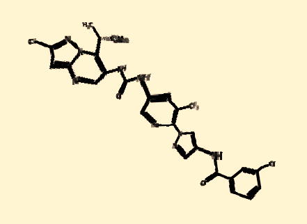 CO[C@@H](C)c1c(NC(=O)Nc2cnc(-n3cc(NC(=O)c4cccc(Cl)c4)cn3)c(C(F)(F)F)c2)cnc2cc(Cl)nn12